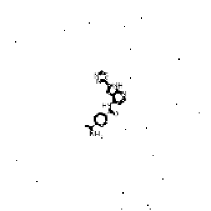 CC(N)[C@H]1CC[C@H](C(=O)Nc2ccnc3[nH]c(-c4nncs4)cc23)CC1